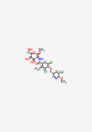 COc1ncc(COc2c(Cl)cc(C(=O)N[C@H]3[C@H](OC)O[C@H](CO)[C@@H](O)[C@@H]3O)c(C)c2Cl)cc1Cl